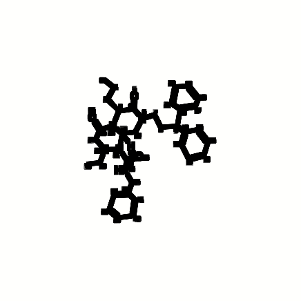 CCC[C@H]1C(=O)N(CCC(c2ccccc2)c2ccccc2)C[C@H]2N1C(=O)CN(CC)N2C(=O)NCc1ccccc1